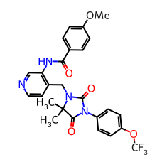 COc1ccc(C(=O)Nc2cnccc2CN2C(=O)N(c3ccc(OC(F)(F)F)cc3)C(=O)C2(C)C)cc1